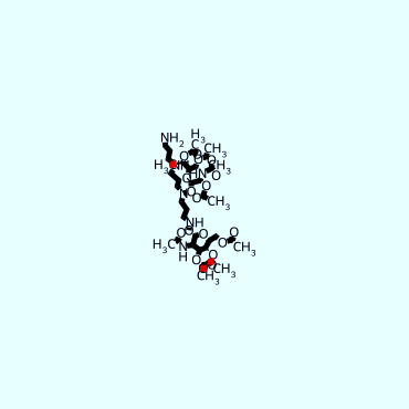 CC(=O)NC(OC(C)=O)[C@@H](OC(COC(C)=O)[C@@H](C)OC(C)=O)ON(CCCNCCCN)CCCNO[C@@H]1OC(COC(C)=O)[C@H](OC(C)=O)C(OC(C)=O)C1NC(C)=O